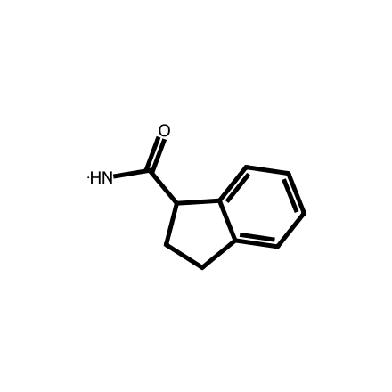 [NH]C(=O)C1CCc2ccccc21